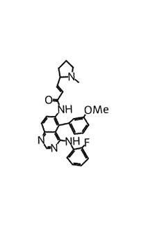 COc1cccc(-c2c(NC(=O)/C=C/C3CCCN3C)ccc3ncnc(Nc4ccccc4F)c23)c1